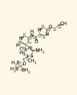 BC(B)(B)OC[C@@]1(C)C[C@@](C)(c2cc(NC(=O)c3cnc(OCC#C)cn3)cnc2F)N=C(N)S1